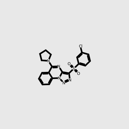 O=S(=O)(c1cccc(Cl)c1)c1nnn2c1nc(N1CCCC1)c1ccccc12